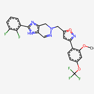 COc1cc(OC(F)(F)F)ccc1-c1cc(CN2Cc3nc(-c4cccc(F)c4F)[nH]c3C=N2)on1